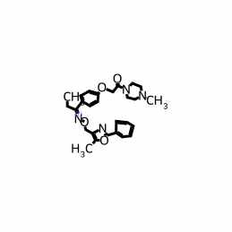 CC/C(=N/OCc1nc(-c2ccccc2)oc1C)c1ccc(OCC(=O)N2CCN(C)CC2)cc1